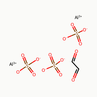 O=CC=O.O=S(=O)([O-])[O-].O=S(=O)([O-])[O-].O=S(=O)([O-])[O-].[Al+3].[Al+3]